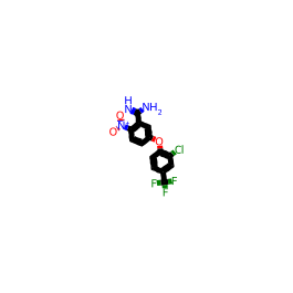 N=C(N)c1cc(Oc2ccc(C(F)(F)F)cc2Cl)ccc1[N+](=O)[O-]